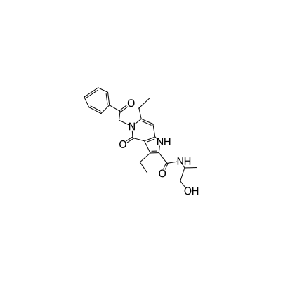 CCc1c(C(=O)NC(C)CO)[nH]c2cc(CC)n(CC(=O)c3ccccc3)c(=O)c12